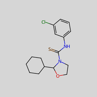 S=C(Nc1cccc(Cl)c1)N1CCOC1C1CCCCC1